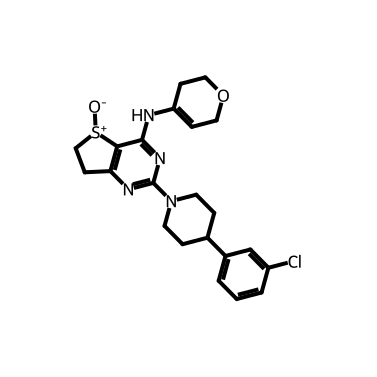 [O-][S+]1CCc2nc(N3CCC(c4cccc(Cl)c4)CC3)nc(NC3=CCOCC3)c21